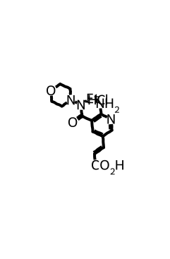 CCN(C(=O)c1cc(C=CC(=O)O)cnc1N)N1CCOCC1.Cl